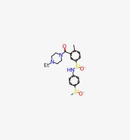 CCN1CCN(C(=O)c2cc([S+]([O-])Nc3ccc([S+](C)[O-])cc3)ccc2C)CC1